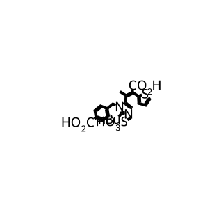 CCCCc1ncc(C(C)=C(C(=O)O)c2cccs2)n1Cc1ccc(C(=O)O)cc1.CS(=O)(=O)O